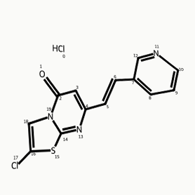 Cl.O=c1cc(/C=C/c2cccnc2)nc2sc(Cl)cn12